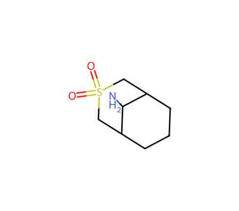 NC1C2CCCC1CS(=O)(=O)C2